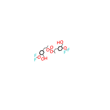 CC(Cc1ccc(OC(F)F)c(CO)c1)OC(=O)OC(C)Cc1ccc(OC(F)F)c(CO)c1